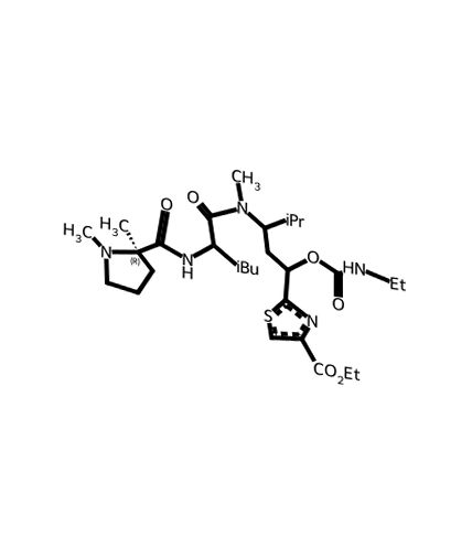 CCNC(=O)OC(CC(C(C)C)N(C)C(=O)C(NC(=O)[C@@]1(C)CCCN1C)C(C)CC)c1nc(C(=O)OCC)cs1